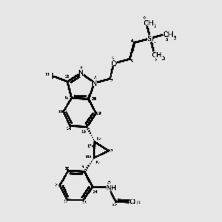 C[Si](C)(C)CCOCn1nc(I)c2ccc([C@@H]3C[C@@H]3c3ccccc3NC=O)cc21